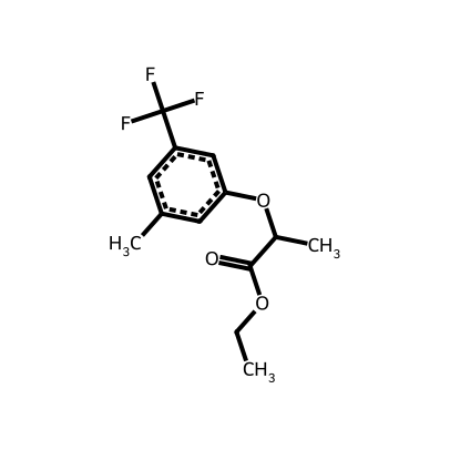 CCOC(=O)C(C)Oc1cc(C)cc(C(F)(F)F)c1